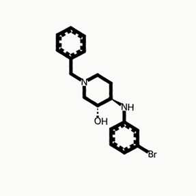 O[C@@H]1CN(Cc2ccccc2)CC[C@H]1Nc1cccc(Br)c1